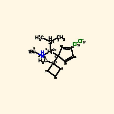 C[SiH](C)[Hf+2]([NH]C(C)(C)C)[C]1([Si]2(C)CCC2)C=CC=C1.[Cl-].[Cl-]